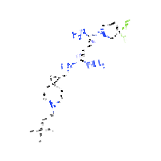 CC(C)(C)CCN1CCC2(CC1)CC2CN/C(N)=C/C=C(\N)N1CCC(F)(F)C1